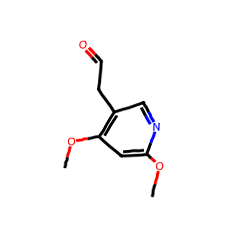 COc1cc(OC)c(CC=O)cn1